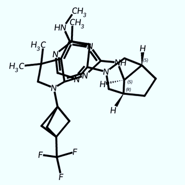 CNc1nc(N[C@@H]2[C@@H]3CC[C@H]2CN(c2cc(C)ncn2)C3)nc2c1C(C)(C)CN2C12CC(C(F)(F)F)(C1)C2